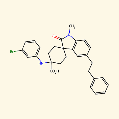 CN1C(=O)C2(CCC(Nc3cccc(Br)c3)(C(=O)O)CC2)c2cc(CCc3ccccc3)ccc21